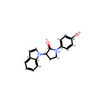 O=C1C(n2ccc3ccccc32)CCN1c1ccc(Br)cc1